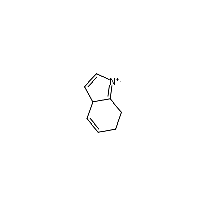 C1=CC2C=C[N+]=C2CC1